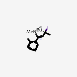 CC[C@@H](C)C(C)(I)/C=C(\NC)c1ccccc1C